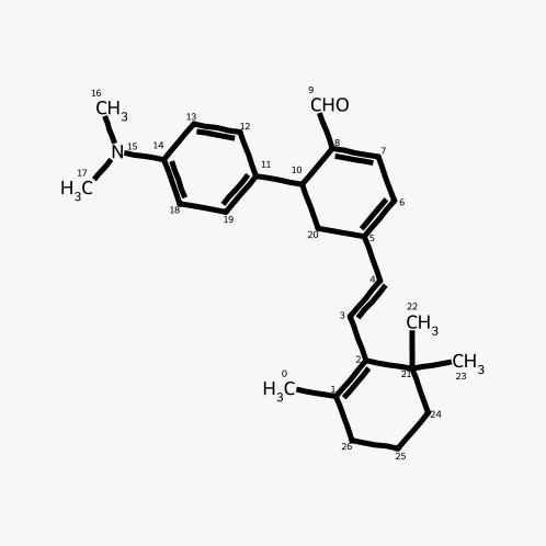 CC1=C(C=CC2=CC=C(C=O)C(c3ccc(N(C)C)cc3)C2)C(C)(C)CCC1